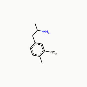 Cc1ccc(CC(C)N)cc1[N+](=O)[O-]